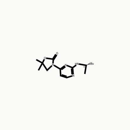 C[C@H](Nc1nccc(N2CC(C)(C)OC2=O)n1)C(C)(C)C